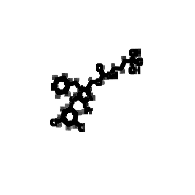 CC(C)c1nc(COC(=O)NCCCP(=O)(O)O)n(Cc2ccncc2)c1Sc1cc(Cl)cc(Cl)c1